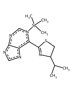 CC(C)C1CSC(c2c3ncnc-3ncn2[Si](C)(C)C)=N1